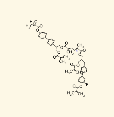 C=C(C)C(=O)OCC(COC(=O)/C(C)=C/CC(=C)C(=O)OCC(COC(=O)C(=C)C)c1ccc(-c2ccc(OC(=O)C(=C)C)cc2)cc1)Cc1ccc(-c2ccc(OC(=O)C(=C)C)c(F)c2)cc1